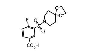 O=C(O)c1ccc(F)c(S(=O)(=O)N2CCC3(CC2)OCCO3)c1